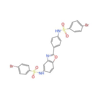 O=S(=O)(Nc1ccc(-c2nc3cc(NS(=O)(=O)c4ccc(Br)cc4)ccc3o2)cc1)c1ccc(Br)cc1